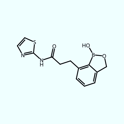 O=C(CCc1cccc2c1B(O)OC2)Nc1nccs1